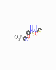 O=C(NC(=S)Nc1cccc(Oc2cc([N+](=O)[O-])ccn2)c1)c1cccs1